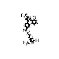 O=C(OCCCc1c[nH]nc1C(F)(F)F)c1ccc(-c2cc(C(F)(F)F)nn2-c2ccccc2Cl)cc1